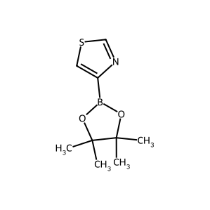 CC1(C)OB(c2cscn2)OC1(C)C